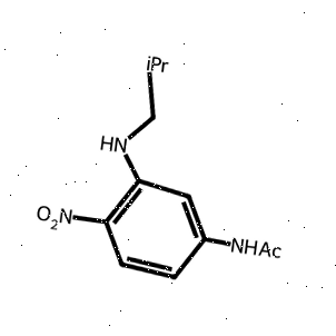 CC(=O)Nc1ccc([N+](=O)[O-])c(NCC(C)C)c1